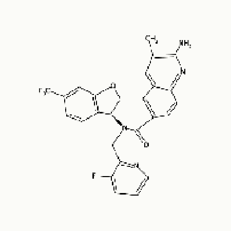 Cc1cc2cc(C(=O)N(Cc3ncccc3F)[C@@H]3COc4cc(C(F)(F)F)ccc43)ccc2nc1N